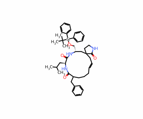 CC(C)C[C@@H]1NC(=O)C(Cc2ccccc2)CCC/C=C/CC2(CCNC2=O)C[C@@H](CO[Si](c2ccccc2)(c2ccccc2)C(C)(C)C)NC1=O